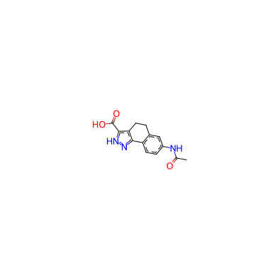 CC(=O)Nc1ccc2c(c1)CCc1c-2n[nH]c1C(=O)O